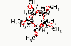 COC[Si]1(C)O[Si](C)(COC)O[Si](C)(COC)O[Si](C)(COC)O[Si](C)(COC)O1